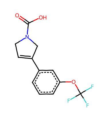 O=C(O)N1CC=C(c2cccc(OC(F)(F)F)c2)C1